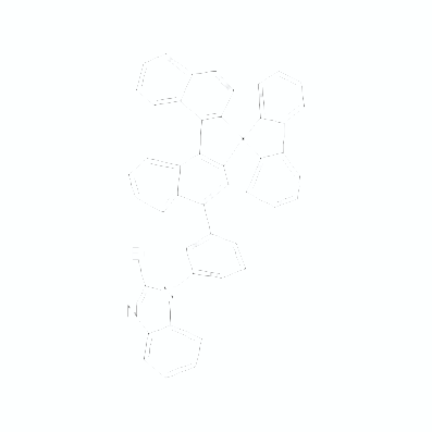 CCc1nc2ccccc2n1-c1cccc(-c2cc3c(c4ccccc24)-c2c(ccc4ccccc24)C32c3ccccc3-c3ccccc32)c1